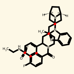 CCNS(=O)(=O)c1cc(C(=O)N2CCC(CCN3[C@@H]4CC[C@H]3CC(n3c(C)nc5ccccc53)C4)CC2c2ccccc2)ccc1F